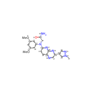 COc1cc(OC)cc(N(CC(N)=O)c2ccc3ncc(-c4cnn(C)c4)nc3n2)c1